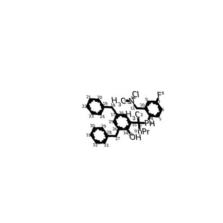 CCCC(C)(Pc1ccc(F)cc1CN(C)Cl)c1cc(Cc2ccccc2)cc(Cc2ccccc2)c1O